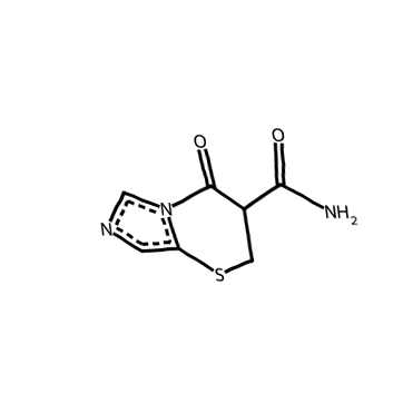 NC(=O)C1CSc2cncn2C1=O